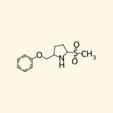 CS(=O)(=O)C1CCC(COc2ccccc2)N1